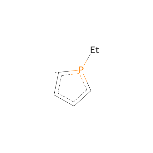 CCp1[c]ccc1